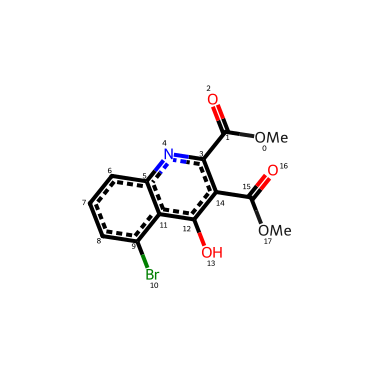 COC(=O)c1nc2cccc(Br)c2c(O)c1C(=O)OC